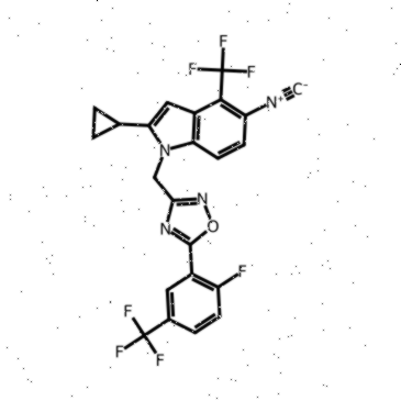 [C-]#[N+]c1ccc2c(cc(C3CC3)n2Cc2noc(-c3cc(C(F)(F)F)ccc3F)n2)c1C(F)(F)F